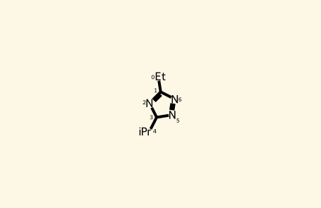 CCC1=NC(C(C)C)N=N1